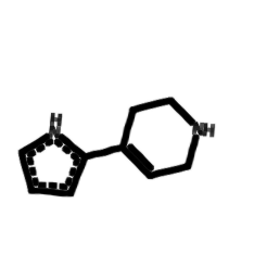 C1=C(c2ccc[nH]2)CCNC1